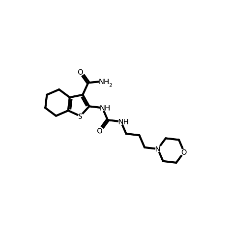 NC(=O)c1c(NC(=O)NCCCN2CCOCC2)sc2c1CCCC2